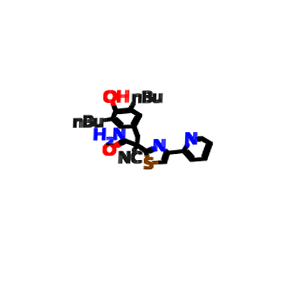 CCCCc1cc(CC(C#N)(C(N)=O)c2nc(-c3ccccn3)cs2)cc(CCCC)c1O